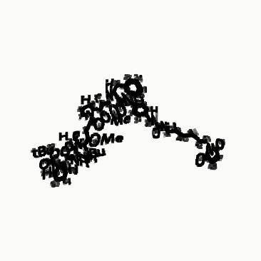 CCC(C)C(C(CC(=O)N1CCC[C@H]1C(OC)C(C)C(=O)NC(Cc1ccccc1)C(=O)Nc1ccc(CNC(=O)NCCCCCCN2C(=O)C=CC2=O)cc1)OC)N(C)C(=O)C(NC(=O)[C@@H]1[C@H]2CC[C@H](C2)N1C(=O)OC(C)(C)C)C(C)C